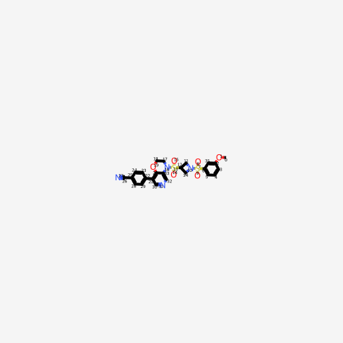 COc1cccc(S(=O)(=O)N2CC(S(=O)(=O)N3CCOc4c(-c5ccc(C#N)cc5)cncc43)C2)c1